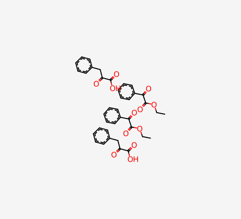 CCOC(=O)C(=O)c1ccccc1.CCOC(=O)C(=O)c1ccccc1.O=C(O)C(=O)Cc1ccccc1.O=C(O)C(=O)Cc1ccccc1